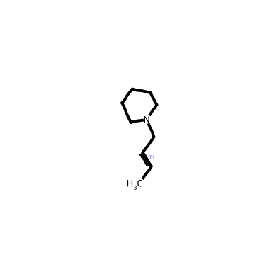 C/C=C/CN1CCCCC1